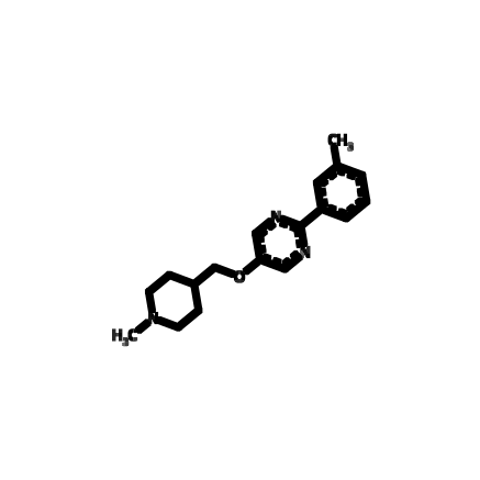 Cc1cccc(-c2ncc(OCC3CCN(C)CC3)cn2)c1